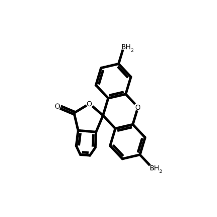 Bc1ccc2c(c1)Oc1cc(B)ccc1C21OC(=O)c2ccccc21